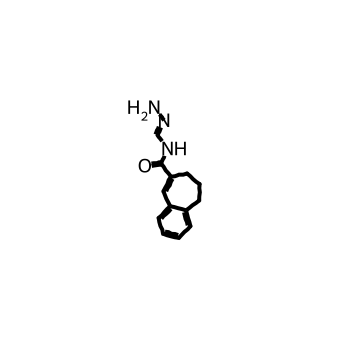 NN=CNC(=O)C1=Cc2ccccc2CCC1